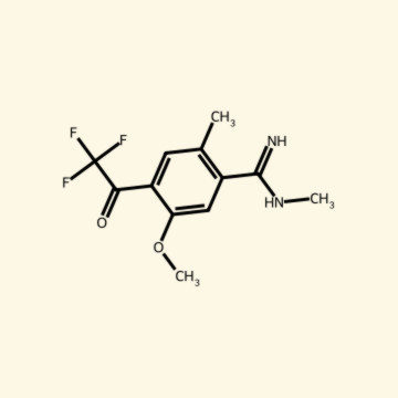 CNC(=N)c1cc(OC)c(C(=O)C(F)(F)F)cc1C